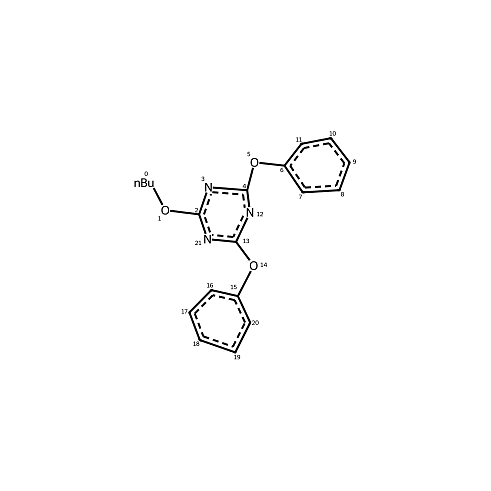 CCCCOc1nc(Oc2ccccc2)nc(Oc2ccccc2)n1